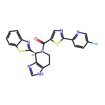 O=C(c1cnc(-c2ccc(F)cn2)s1)N1CCc2[nH]cnc2[C@H]1c1nc2ccccc2s1